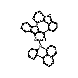 c1ccc2c(c1)-c1cccc3cccc(c13)N2c1nc(-c2cccc3oc4ccccc4c23)c2sc3ccccc3c2n1